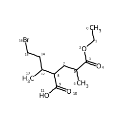 CCOC(=O)C(C)CC(C(=O)O)C(C)CCBr